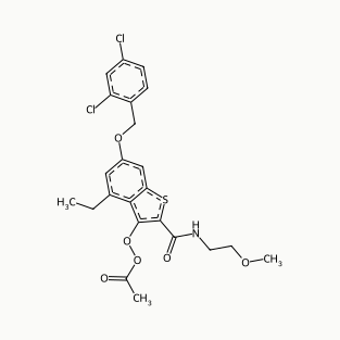 CCc1cc(OCc2ccc(Cl)cc2Cl)cc2sc(C(=O)NCCOC)c(OOC(C)=O)c12